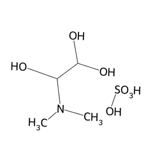 CN(C)C(O)C(O)O.O=S(=O)(O)O